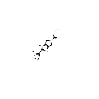 CCn1c(-c2nnnn2C)nc2c1CN(C(=O)OC(C)(C)C)C2